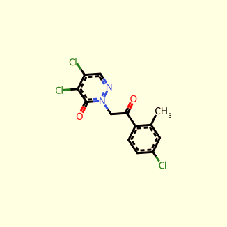 Cc1cc(Cl)ccc1C(=O)Cn1ncc(Cl)c(Cl)c1=O